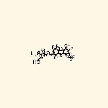 Cc1cc(OC(F)(F)F)cc2c1O[C@H](C(F)(F)F)C(C(=O)OCO/N=[N+](\[O-])N(C)CCO)=C2